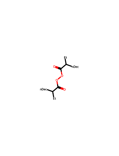 CCCCCCCCCCC(CC)C(=O)OOC(=O)C(CC)CCCCCCCCCC